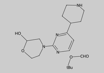 CC(C)(C)OC=O.OC1CN(c2nccc(C3CCNCC3)n2)CCO1